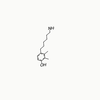 Cc1c(O)ccc(CCCCCC[NH])c1C